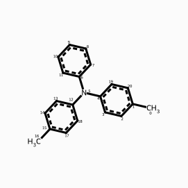 Cc1ccc(N(c2ccccc2)c2ccc(C)cc2)cc1